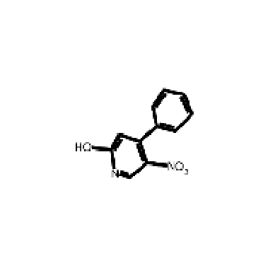 O=[N+]([O-])c1cnc(O)cc1-c1ccccc1